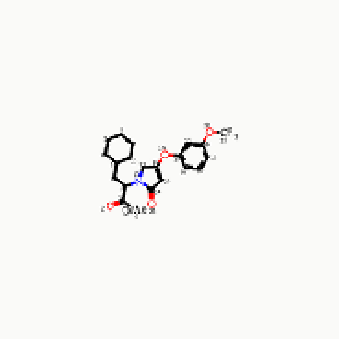 COC(=O)C(CC1CCCCC1)N1CC(Oc2cccc(OC(F)(F)F)c2)=CC1=O